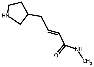 CNC(=O)C=CCC1CCNC1